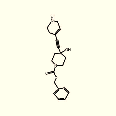 O=C(OCc1ccccc1)N1CCC(O)(C#CC2=CCNCC2)CC1